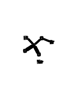 CCS(=O)(=O)OBr.[Na]